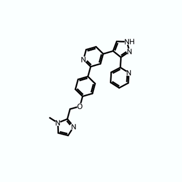 Cn1ccnc1COc1ccc(-c2cc(-c3c[nH]nc3-c3ccccn3)ccn2)cc1